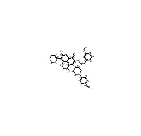 COc1cc(CN(Cc2cn3c4c(c(C5=CCSCC5)c(F)cc4c2=O)OCC3C)[C@H]2CCCN(c3ccc(N)nc3)C2)ccn1